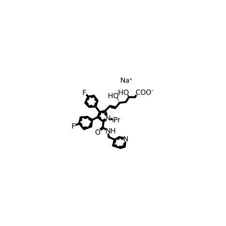 CC(C)n1c(C=C[C@H](O)C[C@@H](O)CC(=O)[O-])c(-c2ccc(F)cc2)c(-c2ccc(F)cc2)c1C(=O)NCc1cccnc1.[Na+]